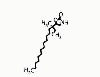 CCCCCCCCCCCCCC(C)(CC)c1c[nH]c(=O)o1